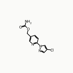 NC(=O)OCc1ccc(-n2cc(Cl)cn2)nc1